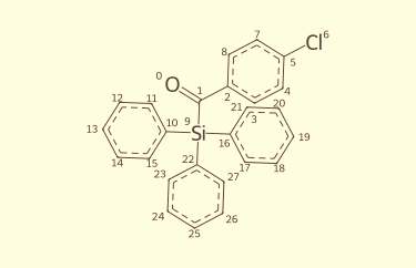 O=C(c1ccc(Cl)cc1)[Si](c1ccccc1)(c1ccccc1)c1ccccc1